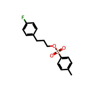 Cc1ccc(S(=O)(=O)OCCCc2ccc(F)cc2)cc1